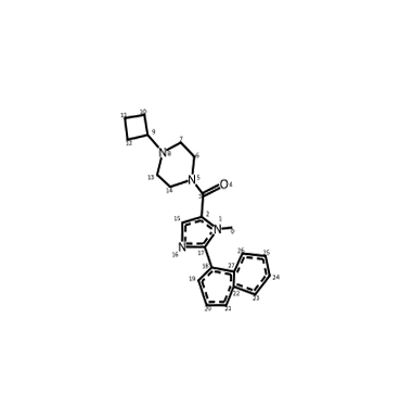 Cn1c(C(=O)N2CCN(C3CCC3)CC2)cnc1-c1cccc2ccccc12